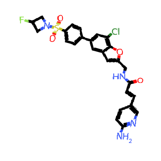 Nc1ccc(C=CC(=O)NCc2cc3cc(-c4ccc(S(=O)(=O)N5CC(F)C5)cc4)cc(Cl)c3o2)cn1